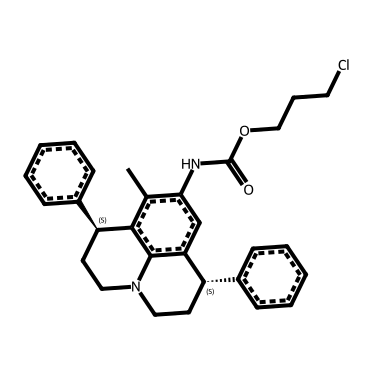 Cc1c(NC(=O)OCCCCl)cc2c3c1[C@H](c1ccccc1)CCN3CC[C@H]2c1ccccc1